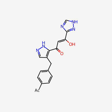 CC(=O)c1ccc(Cc2cn[nH]c2C(=O)C=C(O)c2nc[nH]n2)cc1